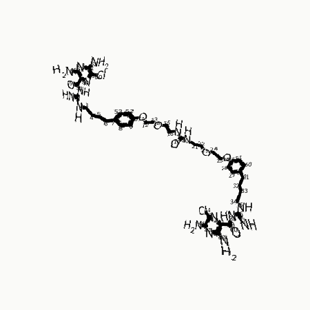 N=C(NCCCCc1ccc(OCCOCCNC(=O)NCCOCCOc2ccc(CCCCNC(=N)NC(=O)c3nc(Cl)c(N)nc3N)cc2)cc1)NC(=O)c1nc(Cl)c(N)nc1N